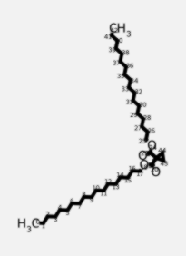 CCCCCCCCCCCCCCCCCCOC(=O)C1(C(=O)OCCCCCCCCCCCCCCCCCC)CC1